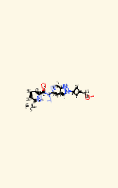 O=C(Nc1cc2cn(C3CC(CO)C3)nc2cn1)c1cccc(C(F)(F)F)n1